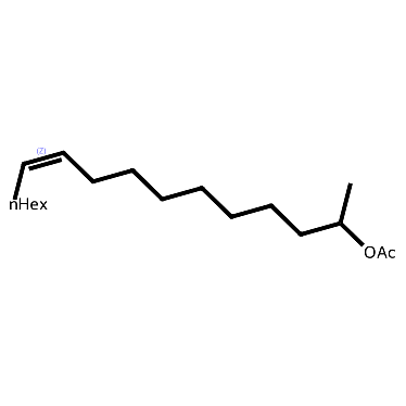 CCCCCC/C=C\CCCCCCCC(C)OC(C)=O